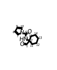 O=CC1(NC(=O)n2cccc2)CCCCC1